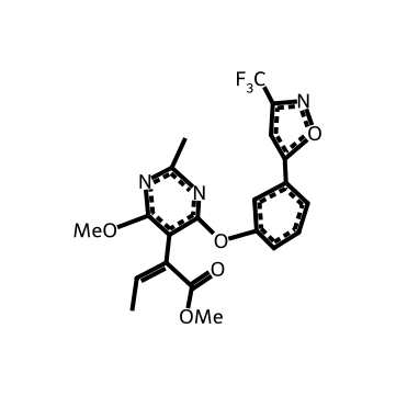 CC=C(C(=O)OC)c1c(OC)nc(C)nc1Oc1cccc(-c2cc(C(F)(F)F)no2)c1